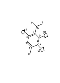 Cc1cc(Cl)c(C(C)C)c(Cl)c1Cl